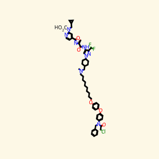 CN(CCCCCCCCCCOc1ccc(Oc2ccc(N(Cc3ccccc3)C(=O)CCl)cc2)cc1)CC1CCC(n2cc(NC(=O)c3coc(-c4ccnc(N(CC5CC5)C(=O)O)c4)n3)c(C(F)F)n2)CC1